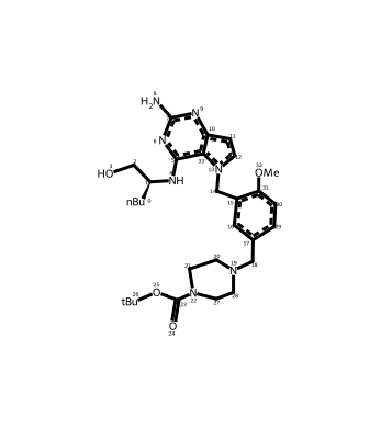 CCCC[C@@H](CO)Nc1nc(N)nc2ccn(Cc3cc(CN4CCN(C(=O)OC(C)(C)C)CC4)ccc3OC)c12